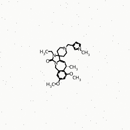 CCN1C(=O)N2Cc3cc(OC)cc(OC)c3[C@@H](C)C=C2C12CCN(Cc1ccn(C)c1)CC2